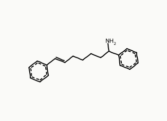 NC(CCCC/C=C/c1ccccc1)c1ccccc1